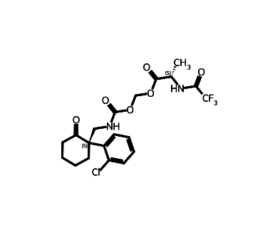 C[C@H](NC(=O)C(F)(F)F)C(=O)OCOC(=O)NC[C@@]1(c2ccccc2Cl)CCCCC1=O